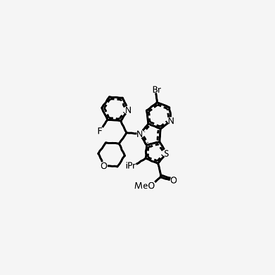 COC(=O)c1sc2c3ncc(Br)cc3n(C(c3ncccc3F)C3CCOCC3)c2c1C(C)C